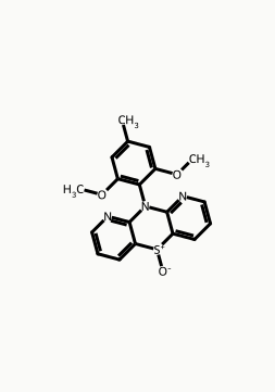 COc1cc(C)cc(OC)c1N1c2ncccc2[S+]([O-])c2cccnc21